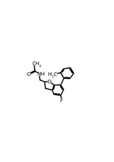 CC(=O)NCC1Cc2cc(F)cc(-c3ccccc3C)c2O1